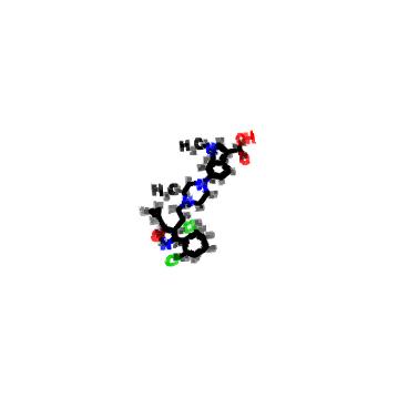 C[C@@H]1CN(c2ccc3c(C(=O)O)cn(C)c3c2)CCN1CCc1c(-c2c(Cl)cccc2Cl)noc1C1CC1